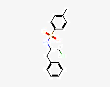 Cc1ccc(S(=O)(=O)N[C@H](CCl)Cc2ccccc2)cc1